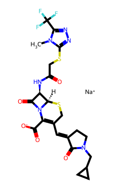 Cn1c(SCC(=O)N[C@@H]2C(=O)N3C(C(=O)[O-])=C(/C=C4\CCN(CC5CC5)C4=O)CS[C@H]23)nnc1C(F)(F)F.[Na+]